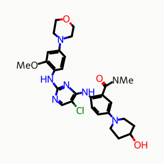 CNC(=O)c1cc(N2CCC(O)CC2)ccc1Nc1nc(Nc2ccc(N3CCOCC3)cc2OC)ncc1Cl